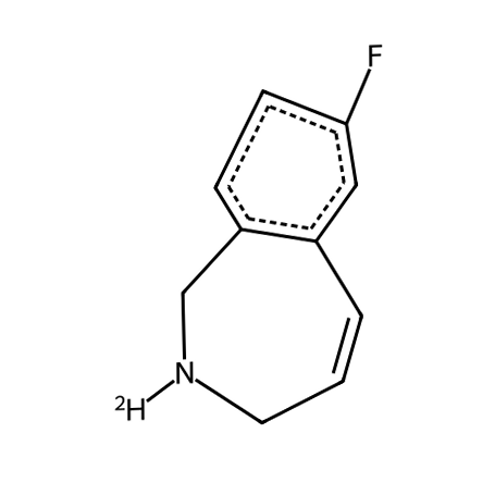 [2H]N1CC=Cc2cc(F)ccc2C1